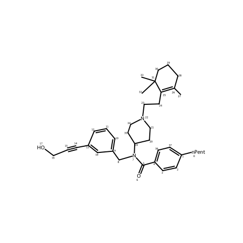 CCCCCc1ccc(C(=O)N(Cc2cccc(C#CCO)c2)C2CCN(CCC3=C(C)CCCC3(C)C)CC2)cc1